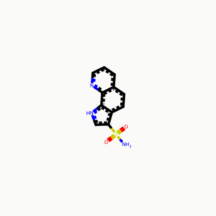 NS(=O)(=O)c1c[nH]c2c1ccc1cccnc12